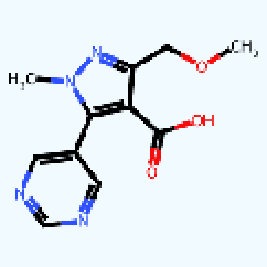 COCc1nn(C)c(-c2cncnc2)c1C(=O)O